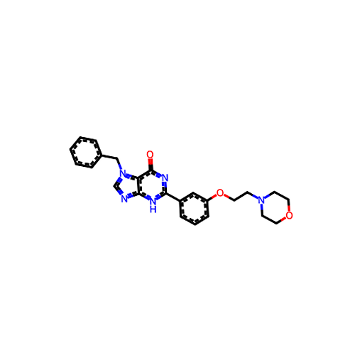 O=c1nc(-c2cccc(OCCN3CCOCC3)c2)[nH]c2ncn(Cc3ccccc3)c12